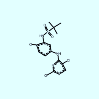 CC(C)(C)S(=O)(=O)Nc1cc(Nc2nc(Cl)ncc2Cl)ccc1Cl